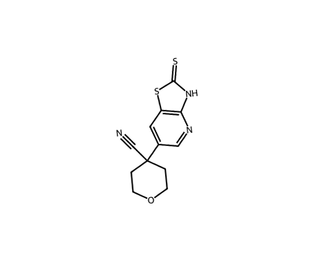 N#CC1(c2cnc3[nH]c(=S)sc3c2)CCOCC1